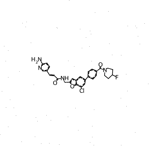 Nc1ccc(C=CC(=O)NCc2cc3cc(-c4ccc(C(=O)N5CCC(F)CC5)cc4)cc(Cl)c3o2)cn1